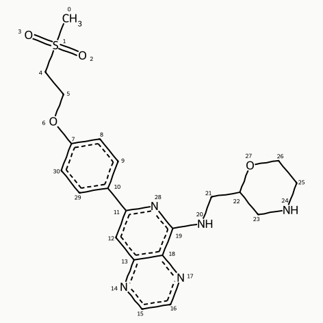 CS(=O)(=O)CCOc1ccc(-c2cc3nccnc3c(NCC3CNCCO3)n2)cc1